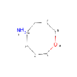 C1CCCOCCC1.N